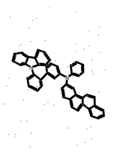 c1ccc(N(c2cccc(-c3ccccc3-n3c4ccccc4c4ccccc43)c2)c2ccc3ccc4c5ccccc5ccc4c3c2)cc1